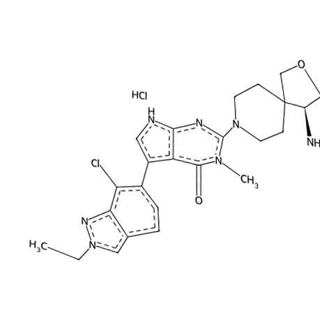 CCn1cc2ccc(-c3c[nH]c4nc(N5CCC6(CC5)COC[C@H]6N)n(C)c(=O)c34)c(Cl)c2n1.Cl